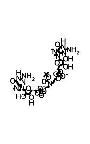 C[n+]1cn([C@@H]2O[C@H](COP(=O)([O-])OCCN(CCOP(=O)([O-])OCC3O[C@@H](n4c[n+](C)c5c(=O)[nH]c(N)nc54)[C@H](O)[C@@H]3O)C(=O)OC(C)(C)C)[C@@H](O)[C@H]2O)c2nc(N)[nH]c(=O)c21